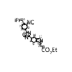 [C-]#[N+]c1cc(-c2nc(-c3ccc4c(cnn4CCC(=O)OCC)c3)no2)ccc1CC(C)C